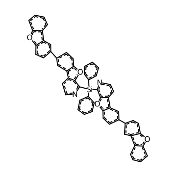 c1ccc([Si](c2ccccc2)(c2nccc3c2oc2ccc(-c4ccc5oc6ccccc6c5c4)cc23)c2nccc3c2oc2ccc(-c4ccc5oc6ccccc6c5c4)cc23)cc1